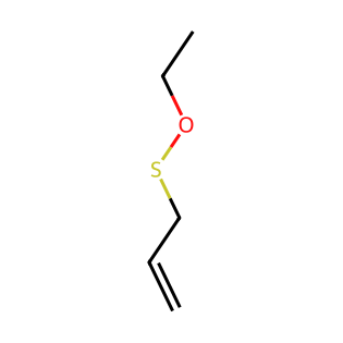 C=CCSOCC